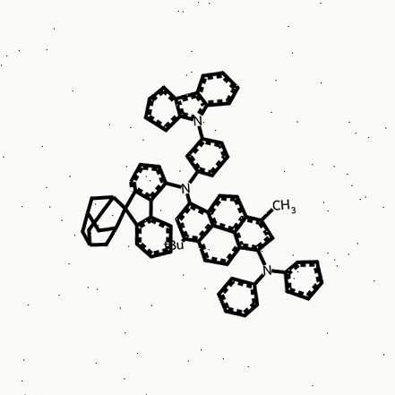 Cc1cc(N(c2ccccc2)c2ccccc2)c2ccc3c(C(C)(C)C)cc(N(c4cccc(-n5c6ccccc6c6ccccc65)c4)c4cccc5c4-c4ccccc4C54C5CC6CC(C5)CC4C6)c4ccc1c2c43